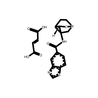 O=C(N[C@H]1CN2CCC1CC2)c1ccc2scnc2c1.O=C(O)/C=C/C(=O)O